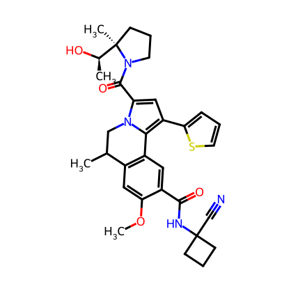 COc1cc2c(cc1C(=O)NC1(C#N)CCC1)-c1c(-c3cccs3)cc(C(=O)N3CCC[C@]3(C)[C@@H](C)O)n1CC2C